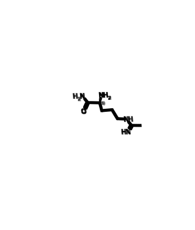 CC(=N)NCCC[C@H](N)C(N)=O